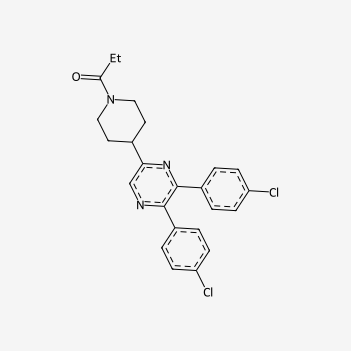 CCC(=O)N1CCC(c2cnc(-c3ccc(Cl)cc3)c(-c3ccc(Cl)cc3)n2)CC1